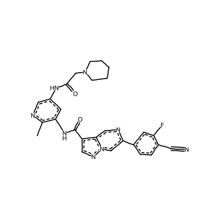 Cc1ncc(NC(=O)CN2CCCCC2)cc1NC(=O)c1cnn2cc(-c3ccc(C#N)c(F)c3)ncc12